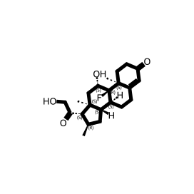 C[C@@H]1C[C@H]2[C@@H]3CCC4=CC(=O)CC[C@]4(C)[C@@]3(F)[C@@H](O)C[C@]2(C)[C@H]1C(=O)CO